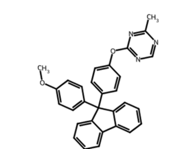 COc1ccc(C2(c3ccc(Oc4ncnc(C)n4)cc3)c3ccccc3-c3ccccc32)cc1